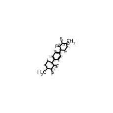 CC1CCC(c2ccc(C3CCC(C)C(F)C3F)cc2)C(F)C1F